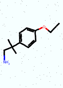 CCOc1ccc(C(C)(C)CN)cc1